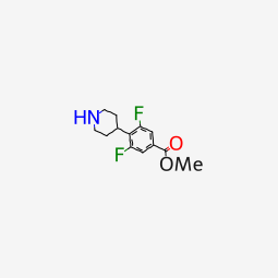 COC(=O)c1cc(F)c(C2CCNCC2)c(F)c1